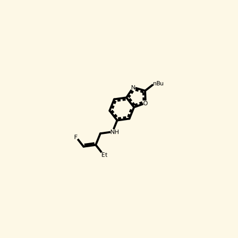 CCCCc1nc2ccc(NC/C(=C\F)CC)cc2o1